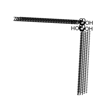 O=C(O)/C=C\C(=O)O.O=C(O)/C=C\C(=O)O.[Zn+2].[Zn+2].[Zn+2].[Zn+2].[Zn+2].[Zn+2].[Zn+2].[Zn+2].[Zn+2].[Zn+2].[Zn+2].[Zn+2].[Zn+2].[Zn+2].[Zn+2].[Zn+2].[Zn+2].[Zn+2].[Zn+2].[Zn+2].[Zn+2].[Zn+2].[Zn+2].[Zn+2].[Zn+2].[Zn+2].[Zn+2].[Zn+2].[Zn+2].[Zn+2].[Zn+2].[Zn+2].[Zn+2].[Zn+2].[Zn+2].[Zn+2].[Zn+2].[Zn+2].[Zn+2].[Zn+2].[Zn+2].[Zn+2].[Zn+2].[Zn+2].[Zn+2].[Zn+2].[Zn+2].[Zn+2].[Zn+2].[Zn+2].[Zn+2].[Zn+2].[Zn+2].[Zn+2].[Zn+2].[Zn+2].[Zn+2].[Zn+2].[Zn+2].[Zn+2].[Zn+2].[Zn+2].[Zn+2].[Zn+2].[Zn+2].[Zn+2].[Zn+2].[Zn+2].[Zn+2].[Zn+2].[Zn+2].[Zn+2].[Zn+2].[Zn+2].[Zn+2].[Zn+2]